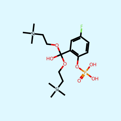 C[Si](C)(C)CCOC(O)(OCC[Si](C)(C)C)c1cc(F)ccc1OP(=O)(O)O